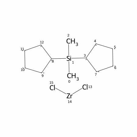 C[Si](C)([C]1[CH][CH][CH][CH]1)[C]1[CH][CH][CH][CH]1.[Cl][Zr][Cl]